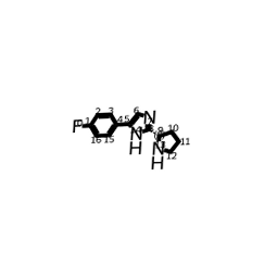 Fc1ccc(-c2cnc([C@@H]3CCCN3)[nH]2)cc1